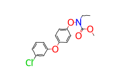 CCN(Oc1ccc(Oc2cccc(Cl)c2)cc1)C(=O)OC